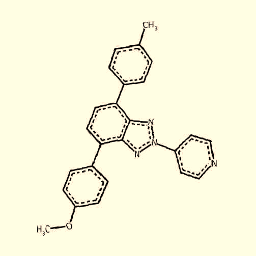 COc1ccc(-c2ccc(-c3ccc(C)cc3)c3nn(-c4ccncc4)nc23)cc1